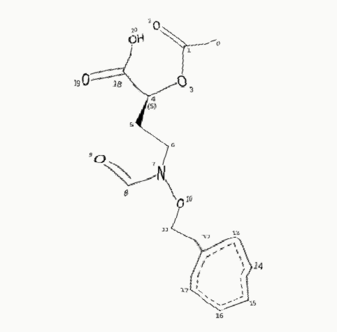 CC(=O)O[C@@H](CCN(C=O)OCc1ccccc1)C(=O)O